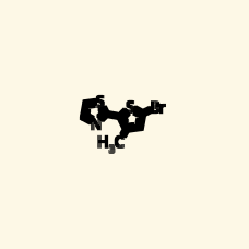 Cc1cc(Br)sc1-c1nccs1